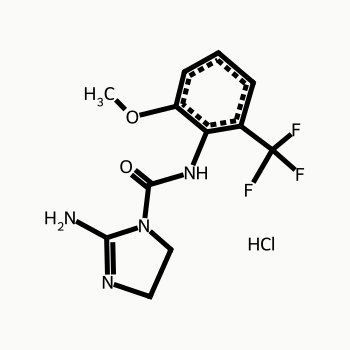 COc1cccc(C(F)(F)F)c1NC(=O)N1CCN=C1N.Cl